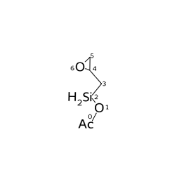 CC(=O)O[SiH2]CC1CO1